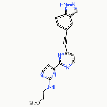 COCCNc1nccc(-c2nccc(C#Cc3ccc4[nH]ncc4c3)n2)n1